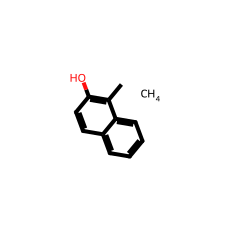 C.Cc1c(O)ccc2ccccc12